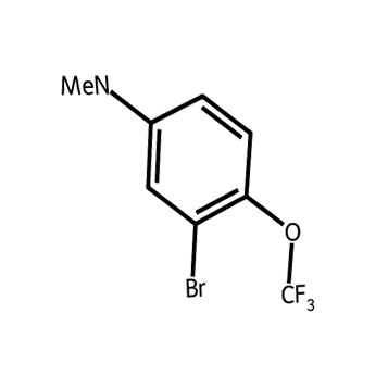 CNc1ccc(OC(F)(F)F)c(Br)c1